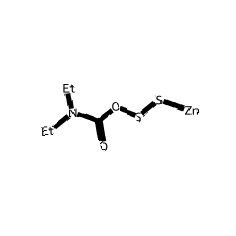 CCN(CC)C(=O)OS[S][Zn]